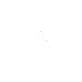 CCC(C)(C)C1=CCC=C(c2ccc(C(C)(C)SC)cc2)C=C1